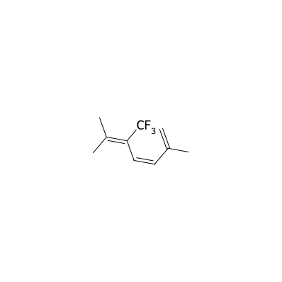 C=C(C)/C=C\C(=C(C)C)C(F)(F)F